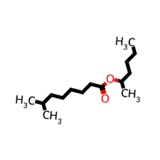 CCCCC(C)OC(=O)CCCCCC(C)C